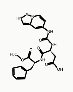 COC(=O)[C@H](Cc1ccccc1)NC(=O)[C@H](CC(=O)O)NC(=O)NC1=CC2=CNSN2C=C1